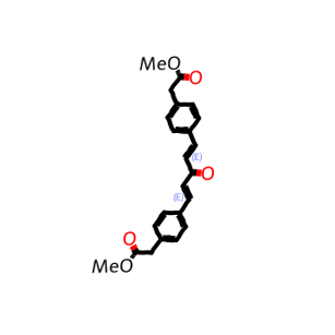 COC(=O)Cc1ccc(/C=C/C(=O)/C=C/c2ccc(CC(=O)OC)cc2)cc1